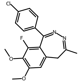 COc1cc2c(c(F)c1OC)C(c1ccc(Cl)cc1)=NN=C(C)C2